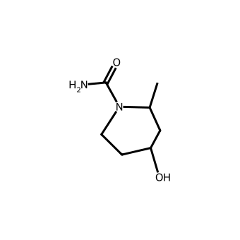 CC1CC(O)CCN1C(N)=O